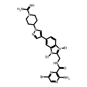 CCn1c(CNC(=O)c2nc(Br)cnc2N)[n+](CC)c2ccc(-c3cnn(C4CCN(C(=N)N)CC4)c3)cc21